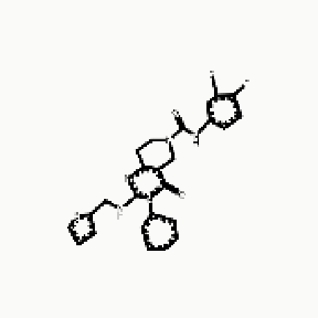 O=C(Nc1ccc(F)c(F)c1)N1CCc2nc(NCc3cccs3)n(-c3ccccc3)c(=O)c2C1